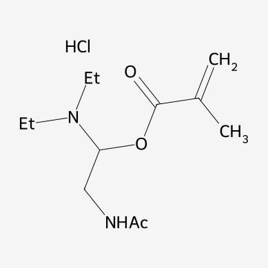 C=C(C)C(=O)OC(CNC(C)=O)N(CC)CC.Cl